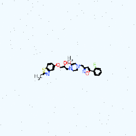 Cc1nc2cc(OC[C@H](O)CN3CCN(Cc4cc(-c5ccccc5F)on4)C[C@@H]3C)ccc2s1